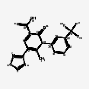 Cc1c(-c2ncon2)cc(C(=O)O)c(=O)n1-c1cccc(C(F)(F)F)c1